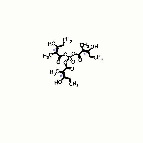 CC/C(O)=C(/C)C(=O)OP(=O)(OC(=O)/C(C)=C(/O)CC)OC(=O)/C(C)=C(/O)CC